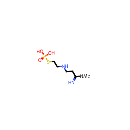 CNC(=N)CCNCCSP(=O)(O)O